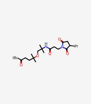 CC(C)C1CC(=O)N(CCC(=O)NC(C)(C)COC(C)(C)CCC(=O)C(C)(C)C)C1=O